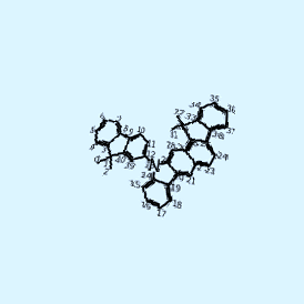 CC1(C)c2ccccc2-c2ccc(-n3c4ccccc4c4cc5ccc6c(c5cc43)C(C)(C)c3ccccc3-6)cc21